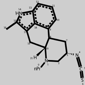 CCCN1C[C@@H](N=C=S)CC2c3cccc4[nH]c(C)c(c34)C[C@H]21